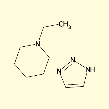 CCN1CCCCC1.c1c[nH]nn1